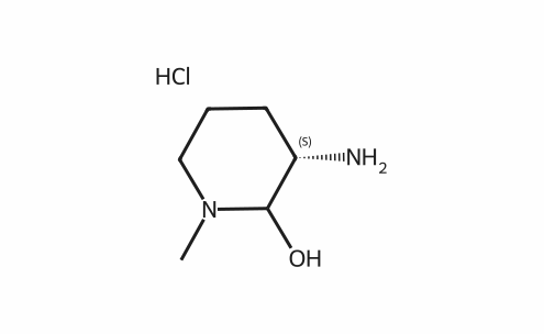 CN1CCC[C@H](N)C1O.Cl